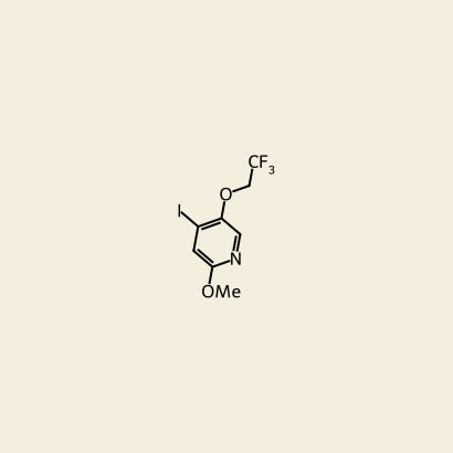 COc1cc(I)c(OCC(F)(F)F)cn1